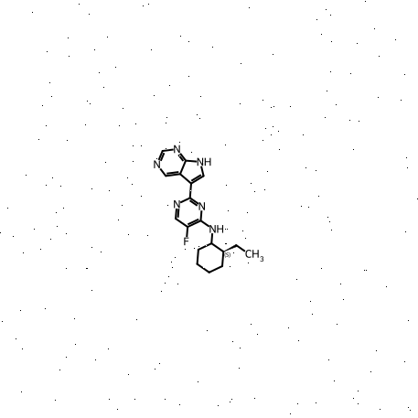 CC[C@H]1CCCCC1Nc1nc(-c2c[nH]c3ncncc23)ncc1F